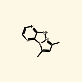 Cc1cc(C)[n+]2[nH]c3nccnc3n12